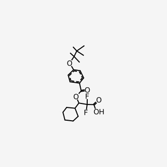 CC(C)(C)C(C)(C)Oc1ccc(C(=O)OC(C2CCCCC2)C(F)(F)C(=O)O)cc1